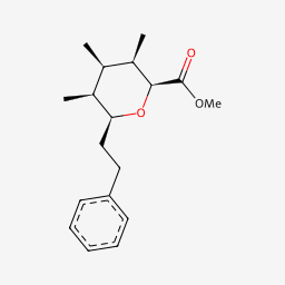 COC(=O)[C@H]1O[C@@H](CCc2ccccc2)[C@@H](C)[C@@H](C)[C@H]1C